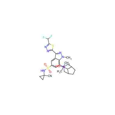 Cn1nc(-c2nnc(C(F)F)s2)c2cc(S(=O)(=O)NC3(C#N)CC3)cc(N3CC4CCC(C3)C4C(C)(C)O)c21